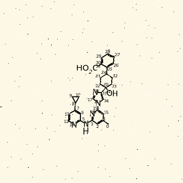 Cc1cc(Nc2cc(C3CC3)ccn2)nc(-n2cnc(C3(O)CCC(c4ccccc4C(=O)O)CC3)c2)c1